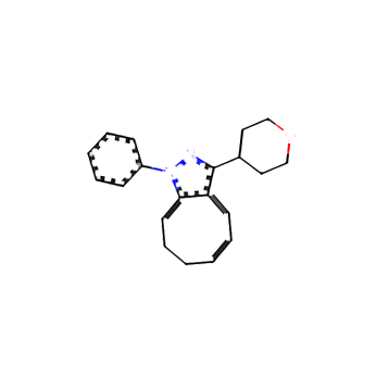 C1=C/CC\C=c2/c(c(C3CCOCC3)nn2-c2ccccc2)=C\1